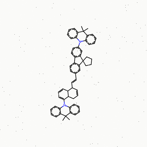 CC1(C)c2ccccc2N(C2=CC=CC3C(/C=C/c4ccc5c(c4)C4(CCCC4)c4cc(N6c7ccccc7C(C)(C)c7ccccc76)ccc4-5)C=CCC23)c2ccccc21